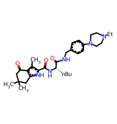 CCCC[C@H](NC(=O)c1[nH]c2c(c1C)C(=O)CC(C)(C)C2)C(=O)NCc1ccc(N2CCN(CC)CC2)cc1